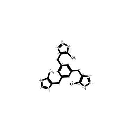 Cc1[nH]nnc1Cc1cc(Cc2nn[nH]c2C)cc(Cc2nn[nH]c2C)c1